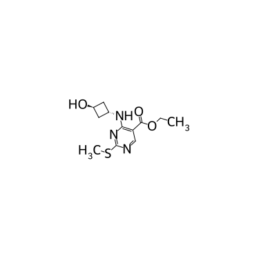 CCOC(=O)c1cnc(SC)nc1N[C@H]1C[C@H](O)C1